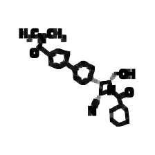 CN(C)C(=O)c1ccc(-c2ccc([C@H]3[C@@H](C#N)N(C(=O)C4CCCCC4)[C@H]3CO)cc2)cc1